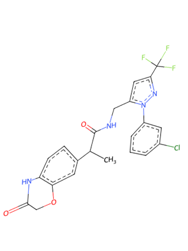 CC(C(=O)NCc1cc(C(F)(F)F)nn1-c1cccc(Cl)c1)c1ccc2c(c1)OCC(=O)N2